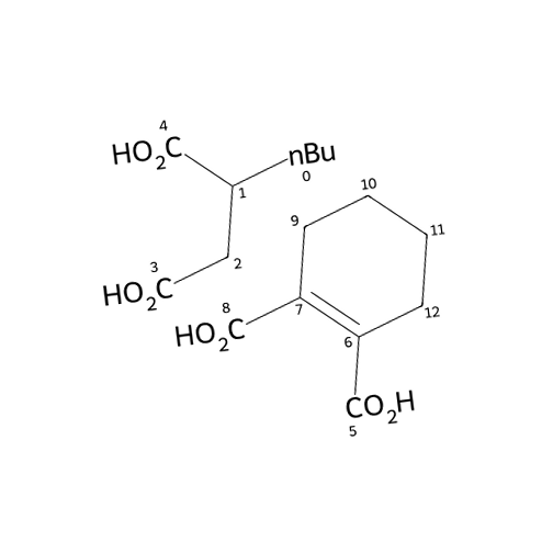 CCCCC(CC(=O)O)C(=O)O.O=C(O)C1=C(C(=O)O)CCCC1